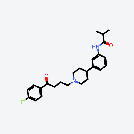 CC(C)C(=O)Nc1cccc(C2CCN(CCCC(=O)c3ccc(F)cc3)CC2)c1